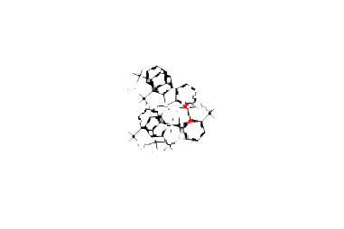 CC(C)(C)c1cccc([PH](O)(OP(O)(c2ccccc2-c2ccccc2)(c2cccc(C(C)(C)C)c2C(C)(C)C)c2cccc(C(C)(C)C)c2C(C)(C)C)c2cccc(C(C)(C)C)c2C(C)(C)C)c1C(C)(C)C